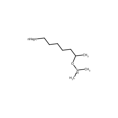 CCCCCCCCCCCCC(C)O[SiH](C)C